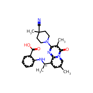 Cc1cc([C@@H](C)Nc2ccccc2C(=O)O)c2nc(N3CCC(C)(C#N)CC3)c(C)c(=O)n2c1